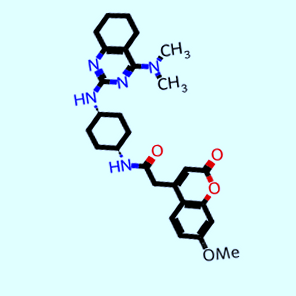 COc1ccc2c(CC(=O)N[C@H]3CC[C@@H](Nc4nc5c(c(N(C)C)n4)CCCC5)CC3)cc(=O)oc2c1